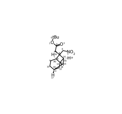 CC(C)(C)OC(=O)C[C@]1(C[N+](=O)[O-])[C@@H]2CC[C@H]3C[C@@H]2[C@@H]1C3